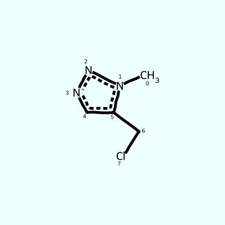 Cn1nncc1CCl